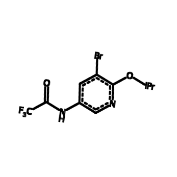 CC(C)Oc1ncc(NC(=O)C(F)(F)F)cc1Br